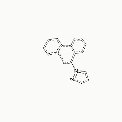 c1ccc2c(c1)cc(-n1cccn1)c1ccccc12